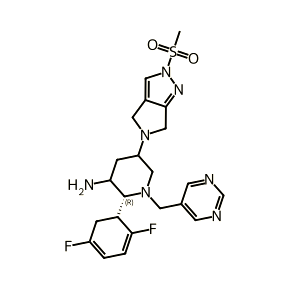 CS(=O)(=O)n1cc2c(n1)CN(C1CC(N)[C@@H](C3CC(F)=CC=C3F)N(Cc3cncnc3)C1)C2